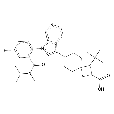 CC(C)N(C)C(=O)c1cc(F)ccc1-n1cc(C2CCC3(CC2)CN(C(=O)O)C3C(C)(C)C)c2ccncc21